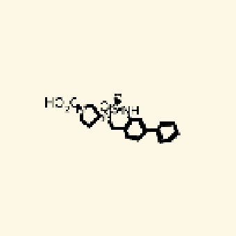 O=C(O)N1CC[C@@H](N2Cc3ccc(-c4ccccc4)cc3NS2(=O)=O)C1